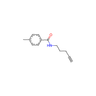 C#CCCCNC(=O)c1ccc(C)cc1